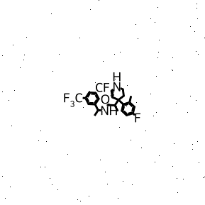 Cc1cc(F)ccc1C1(C(C)C(=O)NC(C)c2cc(C(F)(F)F)cc(C(F)(F)F)c2)CCNCC1